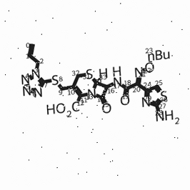 C=CCn1nnnc1SCC1=C(C(=O)O)N2C(=O)C(NC(=O)C(=NOCCCC)c3csc(N)n3)[C@@H]2SC1